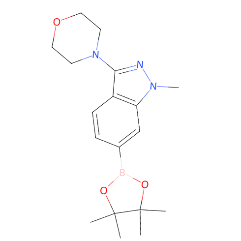 Cn1nc(N2CCOCC2)c2ccc(B3OC(C)(C)C(C)(C)O3)cc21